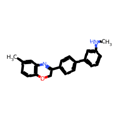 CNc1cccc(-c2ccc(C3=Nc4cc(C)ccc4OC3)cc2)c1